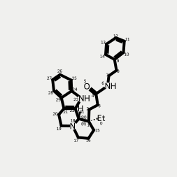 CC[C@]1(CCC(=O)NCCc2ccccc2)CCCN2CCc3c([nH]c4ccccc34)[C@@H]21